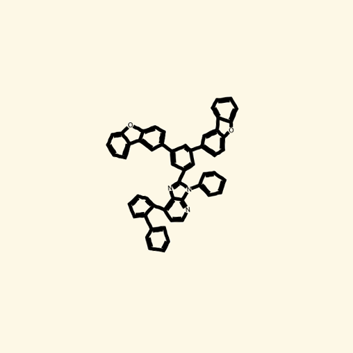 c1ccc(-c2ccccc2-c2ccnc3c2nc(-c2cc(-c4ccc5oc6ccccc6c5c4)cc(-c4ccc5oc6ccccc6c5c4)c2)n3-c2ccccc2)cc1